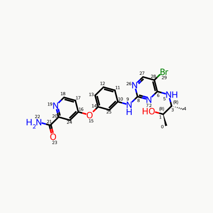 C[C@@H](O)[C@@H](C)Nc1nc(Nc2cccc(Oc3ccnc(C(N)=O)c3)c2)ncc1Br